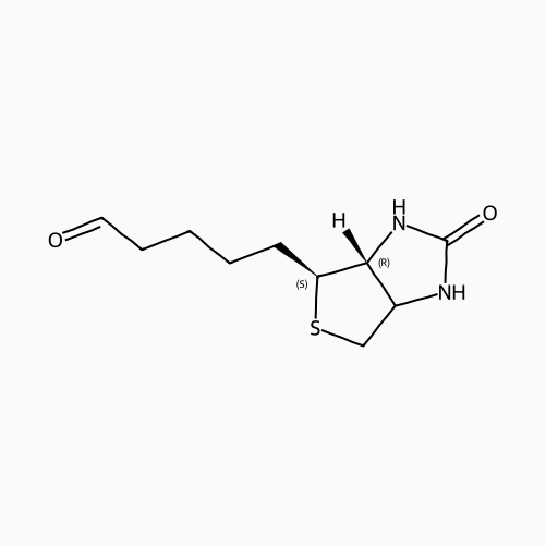 O=CCCCC[C@@H]1SCC2NC(=O)N[C@H]21